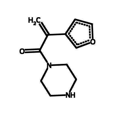 C=C(C(=O)N1CCNCC1)c1ccoc1